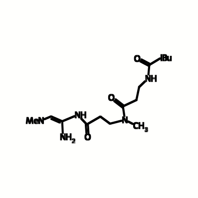 CCC(C)C(=O)NCCC(=O)N(C)CCC(=O)N/C(N)=C/NC